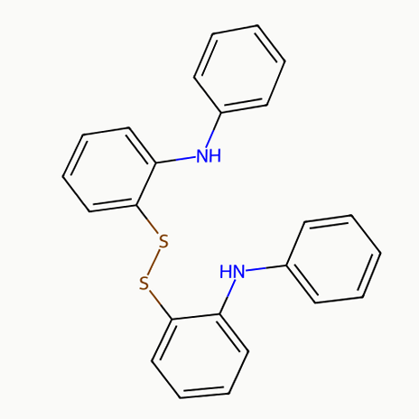 c1ccc(Nc2ccccc2SSc2ccccc2Nc2ccccc2)cc1